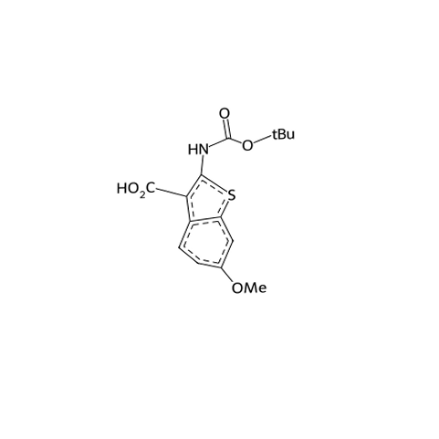 COc1ccc2c(C(=O)O)c(NC(=O)OC(C)(C)C)sc2c1